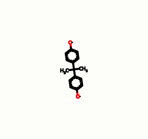 CC(C)(c1ccc([O])cc1)c1ccc([O])cc1